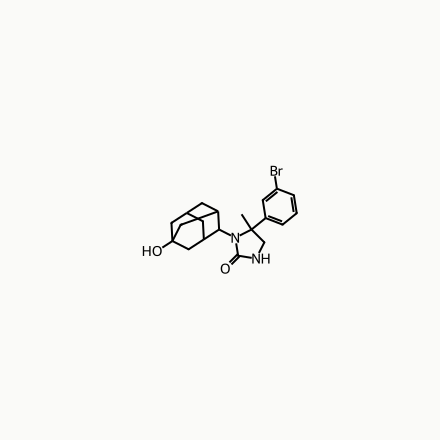 CC1(c2cccc(Br)c2)CNC(=O)N1C1C2CC3CC1CC(O)(C3)C2